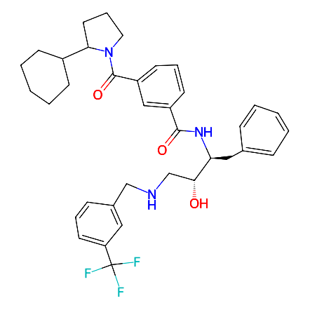 O=C(N[C@@H](Cc1ccccc1)[C@H](O)CNCc1cccc(C(F)(F)F)c1)c1cccc(C(=O)N2CCCC2C2CCCCC2)c1